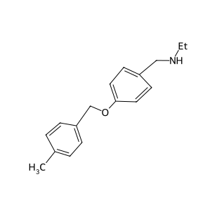 [CH2]CNCc1ccc(OCc2ccc(C)cc2)cc1